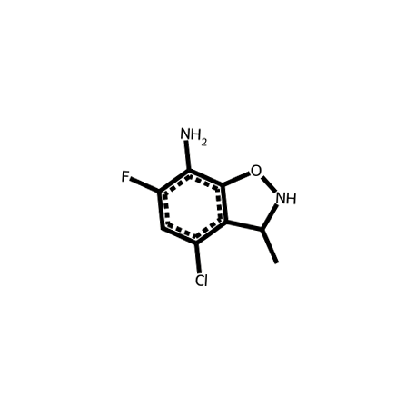 CC1NOc2c(N)c(F)cc(Cl)c21